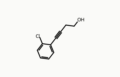 OCCC#Cc1ccccc1Cl